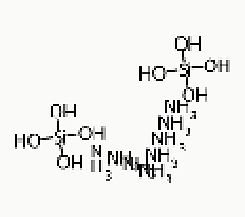 N.N.N.N.N.N.N.N.O[Si](O)(O)O.O[Si](O)(O)O